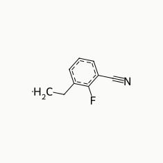 [CH2]Cc1cccc(C#N)c1F